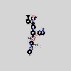 CC1CN(C2CC3(CCN(c4ccc(C(=O)NS(=O)(=O)c5cnc(NC[C@H]6CC[C@@H](C)CC6)c([N+](=O)[O-])c5)c(Oc5cnc6[nH]ccc6c5)c4)CC3)C2)[C@H](c2ccccc2C2CC2)CO1